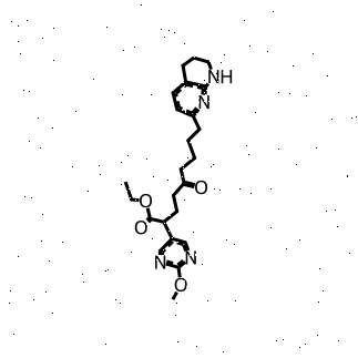 CCOC(=O)C(CCC(=O)CCCCc1ccc2c(n1)NCCC2)c1cnc(OC)nc1